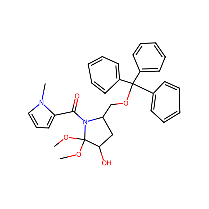 COC1(OC)C(O)CC(COC(c2ccccc2)(c2ccccc2)c2ccccc2)N1C(=O)c1cccn1C